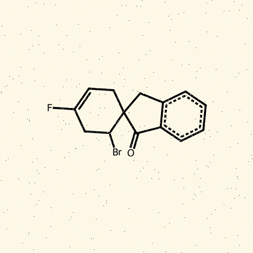 O=C1c2ccccc2CC12CC=C(F)CC2Br